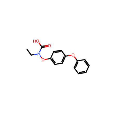 CCN(Oc1ccc(Oc2ccccc2)cc1)C(=O)O